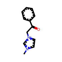 Cn1cc[n+](CC(=O)c2ccccc2)c1